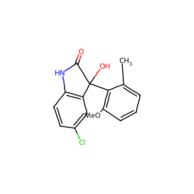 COc1cccc(C)c1C1(O)C(=O)Nc2ccc(Cl)cc21